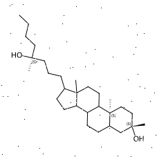 CCCC[C@](C)(O)CCCC1CCC2C3CCC4C[C@@](C)(O)CC[C@]4(C)C3CCC12C